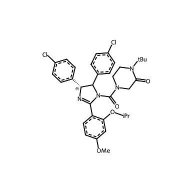 COc1ccc(C2=N[C@H](c3ccc(Cl)cc3)C(c3ccc(Cl)cc3)N2C(=O)N2CCN(C(C)(C)C)C(=O)C2)c(OC(C)C)c1